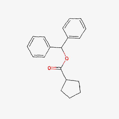 O=C(OC(c1ccccc1)c1ccccc1)C1CCCC1